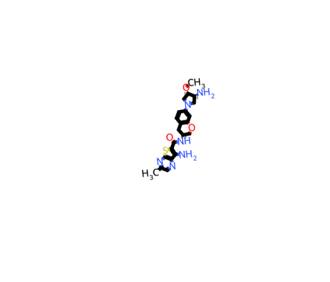 CO[C@H]1CN(c2ccc3c(c2)OC[C@H](NC(=O)c2sc4nc(C)cnc4c2N)C3)C[C@@H]1N